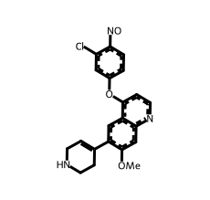 COc1cc2nccc(Oc3ccc(N=O)c(Cl)c3)c2cc1C1=CCNCC1